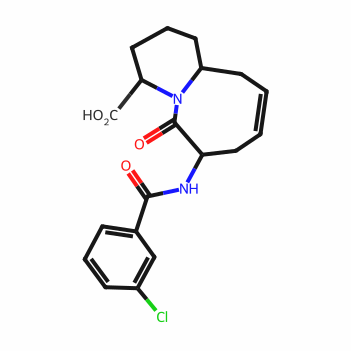 O=C(NC1CC=CCC2CCCC(C(=O)O)N2C1=O)c1cccc(Cl)c1